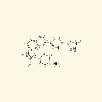 Cn1cc(-c2ccc(-c3ccc4ncc5c(c4c3)n([C@H]3CC[C@@H](N)CC3)c(=O)n5C)cn2)cn1